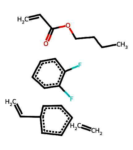 C=C.C=CC(=O)OCCCC.C=Cc1ccccc1.Fc1ccccc1F